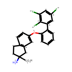 NC1(C(=O)O)CCc2ccc(Oc3ccccc3-c3cc(F)cc(F)c3F)cc2C1